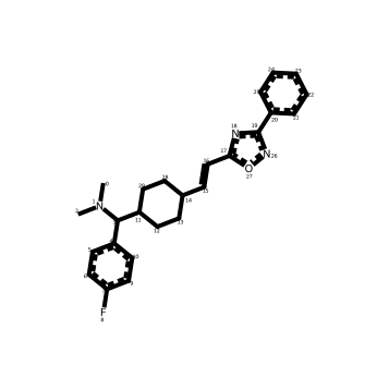 CN(C)C(c1ccc(F)cc1)C1CCC(/C=C/c2nc(-c3ccccc3)no2)CC1